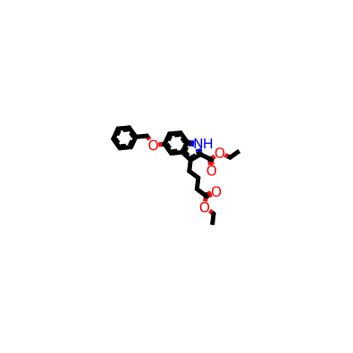 CCOC(=O)CCCc1c(C(=O)OCC)[nH]c2ccc(OCc3ccccc3)cc12